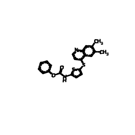 Cc1cc2nccc(Sc3ccc(NC(=O)Oc4ccccc4)s3)c2cc1C